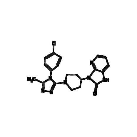 Cc1nnc(N2CCC(n3c(=O)[nH]c4cccnc43)CC2)n1-c1ccc(Cl)cc1